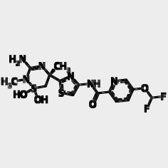 CN1C(N)=N[C@](C)(c2nc(NC(=O)c3ccc(OC(F)F)cn3)cs2)CS1(O)O